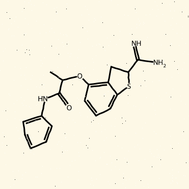 CC(Oc1cccc2c1CC(C(=N)N)S2)C(=O)Nc1ccccc1